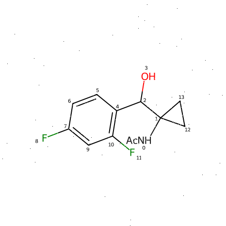 CC(=O)NC1(C(O)c2ccc(F)cc2F)CC1